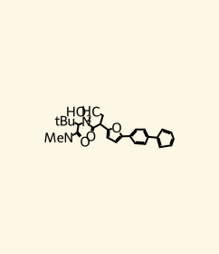 CNC(=O)C(NC(=O)C(CC(=O)O)c1ccc(-c2ccc(-c3ccccc3)cc2)o1)C(C)(C)C